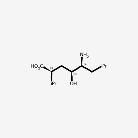 CC(C)C[C@H](N)[C@@H](O)C[C@H](C(=O)O)C(C)C